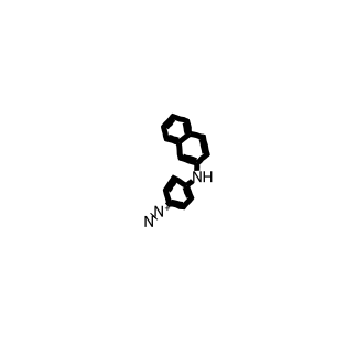 N#[N+]c1ccc(Nc2ccc3ccccc3c2)cc1